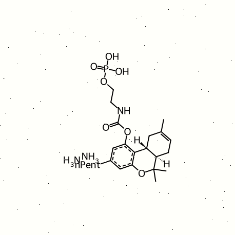 CCCCCc1cc(OC(=O)NCCOP(=O)(O)O)c2c(c1)OC(C)(C)[C@@H]1CC=C(C)C[C@@H]21.N.N